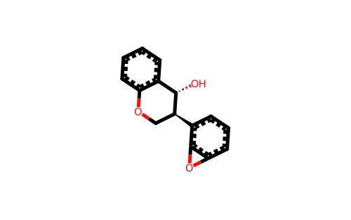 O[C@H]1c2ccccc2OC[C@@H]1c1cccc2c1O2